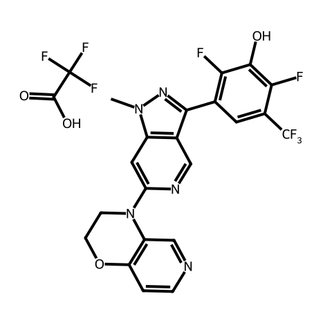 Cn1nc(-c2cc(C(F)(F)F)c(F)c(O)c2F)c2cnc(N3CCOc4ccncc43)cc21.O=C(O)C(F)(F)F